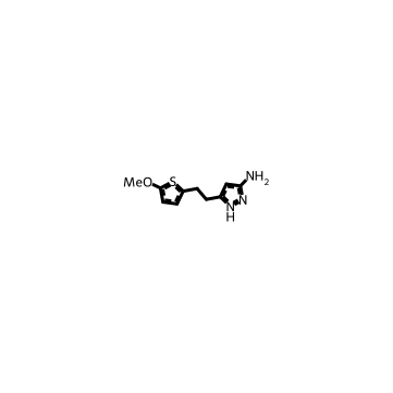 COc1ccc(CCc2cc(N)n[nH]2)s1